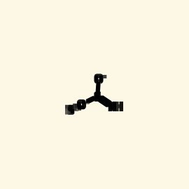 N=S([O-])[O-].[S+2]